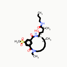 CCCCNC(=O)[C@H](C)C[C@H](O)[C@@H]1C[C@H](C)CCCCCN(CC)C(=O)c2cc(cc(S(C)(=O)=O)c2)C(=O)N1